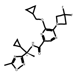 Cc1nc([C@@](C)(NC(=O)c2cnc(N3CC(F)(F)C3)c(OCC3CC3)n2)C2CC2)no1